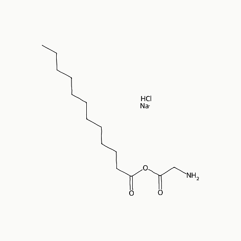 CCCCCCCCCCCC(=O)OC(=O)CN.Cl.[Na]